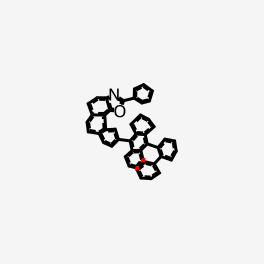 c1ccc(-c2nc3ccc4ccc5ccc(-c6c7ccccc7c(-c7ccccc7-c7ccccc7)c7ccccc67)cc5c4c3o2)cc1